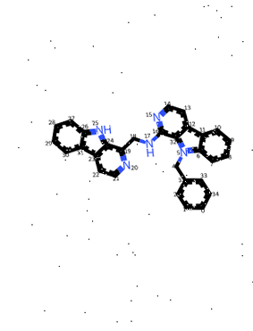 c1ccc(Cn2c3ccccc3c3ccnc(NCc4nccc5c4[nH]c4ccccc45)c32)cc1